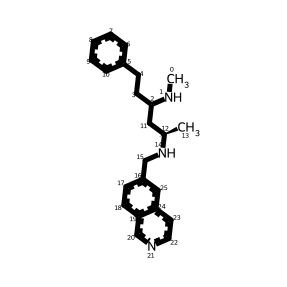 CNC(CCc1ccccc1)C[C@@H](C)NCc1ccc2cnccc2c1